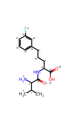 CC(C)C(N)C(=O)NC(CCCc1cccc(F)c1)C(=O)O